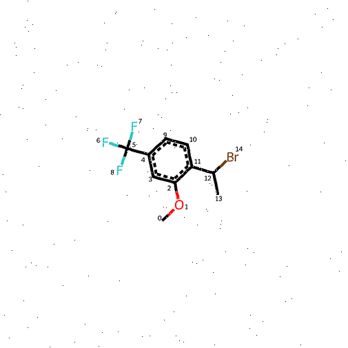 COc1cc(C(F)(F)F)ccc1C(C)Br